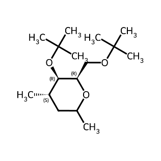 CC1C[C@H](C)[C@@H](OC(C)(C)C)[C@@H](COC(C)(C)C)O1